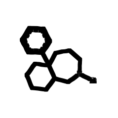 CCN1CCCC2(c3ccccc3)CCCCC2C1